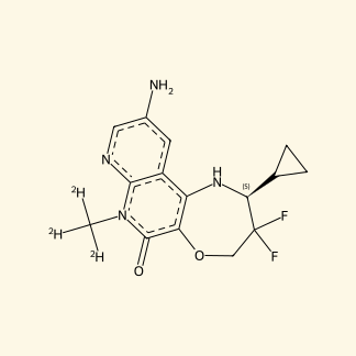 [2H]C([2H])([2H])n1c(=O)c2c(c3cc(N)cnc31)N[C@@H](C1CC1)C(F)(F)CO2